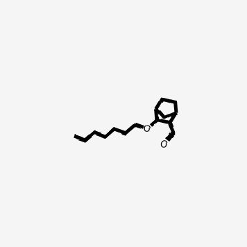 CCCCCCCOC1C2CCC(C2)C1C=O